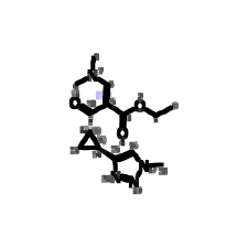 CCOC(=O)/C(=C/N(C)C)C(=O)[C@H]1C[C@@H]1c1cn(C)nn1